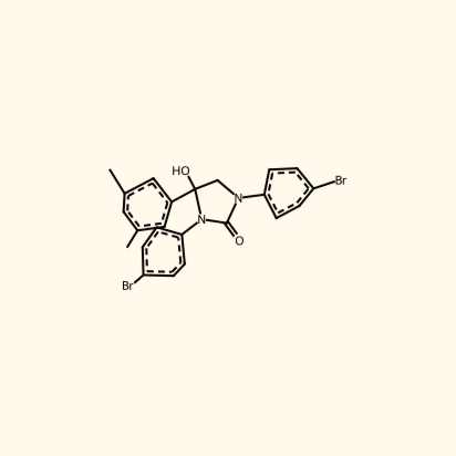 Cc1cc(C)cc(C2(O)CN(c3ccc(Br)cc3)C(=O)N2c2ccc(Br)cc2)c1